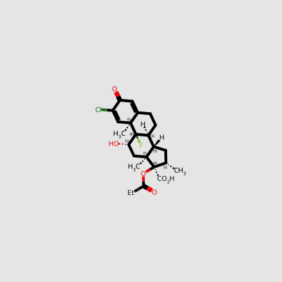 CCC(=O)O[C@]1(C(=O)O)[C@@H](C)C[C@H]2[C@@H]3CCC4=CC(=O)C(Cl)=C[C@]4(C)[C@@]3(F)[C@@H](O)C[C@@]21C